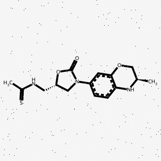 CC(=S)NC[C@H]1CN(c2ccc3c(c2)OC[C@@H](C)N3)C(=O)O1